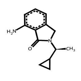 C[C@@H](C1CC1)N1Cc2cccc(N)c2C1=O